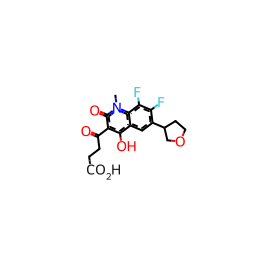 Cn1c(=O)c(C(=O)CCC(=O)O)c(O)c2cc(C3CCOC3)c(F)c(F)c21